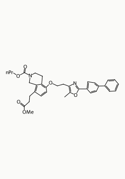 CCCOC(=O)N1CCc2c(OCCc3nc(-c4ccc(-c5ccccc5)cc4)oc3C)ccc(CCC(=O)OC)c2C1